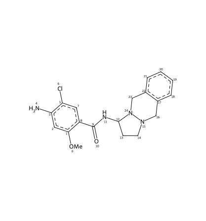 COc1cc(N)c(Cl)cc1C(=O)NC1CCN2Cc3ccccc3CN12